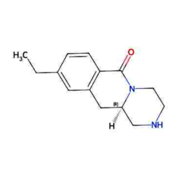 CCc1ccc2c(c1)C[C@@H]1CNCCN1C2=O